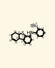 CC(C)(C)c1ccccc1Nc1cccc2c1SC1CCC=CC21